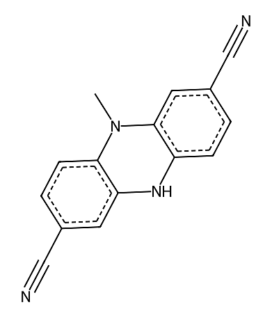 CN1c2ccc(C#N)cc2Nc2ccc(C#N)cc21